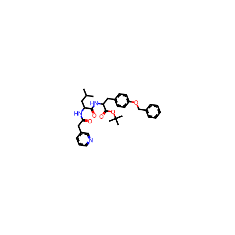 CC(C)CC(NC(=O)Cc1cccnc1)C(=O)NC(Cc1ccc(OCc2ccccc2)cc1)C(=O)OC(C)(C)C